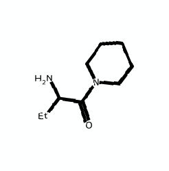 CCC(N)C(=O)N1CCCCC1